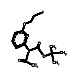 CC(=O)N(C(=O)OC(C)(C)C)c1cccc(OCCF)n1